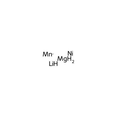 [LiH].[MgH2].[Mn].[Ni]